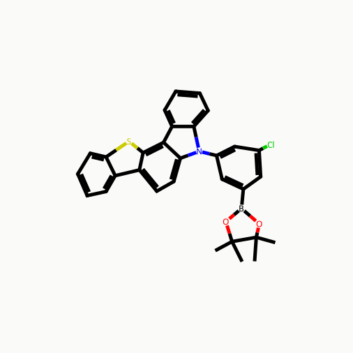 CC1(C)OB(c2cc(Cl)cc(-n3c4ccccc4c4c5sc6ccccc6c5ccc43)c2)OC1(C)C